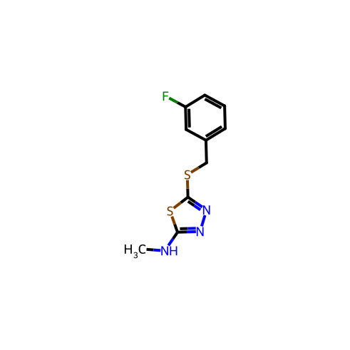 CNc1nnc(SCc2cccc(F)c2)s1